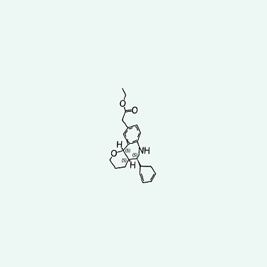 CCOC(=O)Cc1ccc2c(c1)[C@H]1OCCC[C@H]1[C@H](C1C=CC=CC1)N2